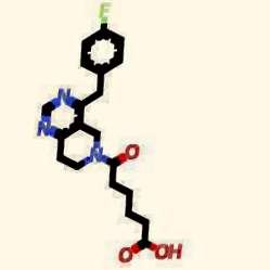 O=C(O)CCCCC(=O)N1CCc2ncnc(Cc3ccc(F)cc3)c2C1